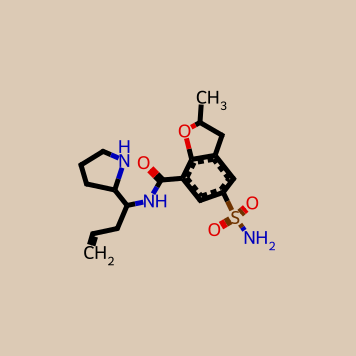 C=CCC(NC(=O)c1cc(S(N)(=O)=O)cc2c1OC(C)C2)C1CCCN1